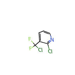 FC(F)(Cl)c1cccnc1Cl